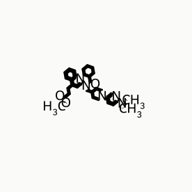 COC(=O)CCc1cc(N(CC2CCN(c3ccc(N(C)C)nc3)CC2)C(=O)C2CCCCC2)nc2ccccc12